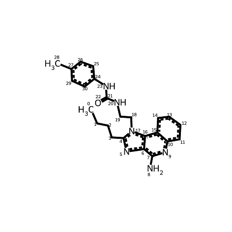 CCCCc1nc2c(N)nc3ccccc3c2n1CCNC(=O)Nc1ccc(C)cc1